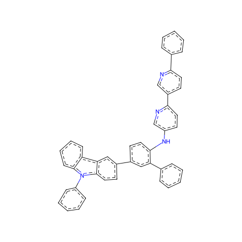 c1ccc(-c2ccc(-c3ccc(Nc4ccc(-c5ccc6c(c5)c5ccccc5n6-c5ccccc5)cc4-c4ccccc4)cn3)cn2)cc1